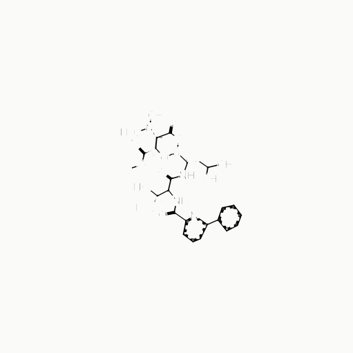 COC(=O)[C@@H]1OB([C@H](CC(C)C)NC(=O)C(NC(=O)c2cccc(-c3ccccc3)n2)[C@@H](C)O)OC(=O)[C@@H]1N(C)C